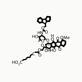 COc1cccc2c1C(=O)c1c(O)c3c(c(O)c1C2=O)C[C@@](O)(C(=O)COC(=O)CCCCCCCC(=O)O)C[C@@H]3O[C@H]1C[C@H](NC(=O)OCC2c3ccccc3-c3ccccc32)[C@H](O)[C@H](C)O1